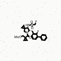 COCC1(C(=O)N2CC3(CC3)[C@H](NS(=O)(=O)CF)[C@@H]2Cc2cccc(-c3ccccc3)c2F)CC1